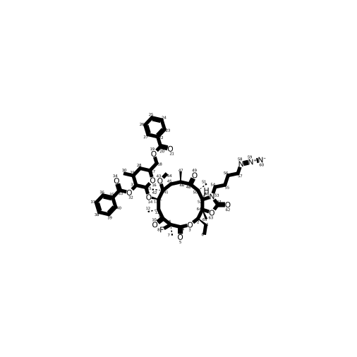 CC[C@H]1OC(=O)[C@@](C)(F)C(=O)[C@H](C)[C@@H](OC2OC(COC(=O)c3ccccc3)CC(C)C2OC(=O)c2ccccc2)[C@@](C)(OC)C[C@@H](C)C(=O)[C@H](C)[C@H]2N(CCCCN=[N+]=[N-])C(=O)O[C@]12C